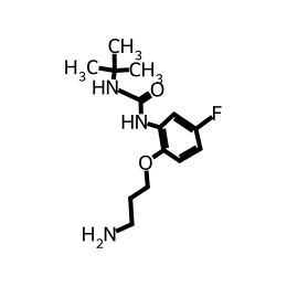 CC(C)(C)NC(=O)Nc1cc(F)ccc1OCCCN